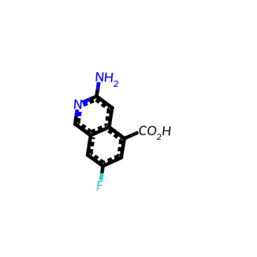 Nc1cc2c(C(=O)O)cc(F)cc2cn1